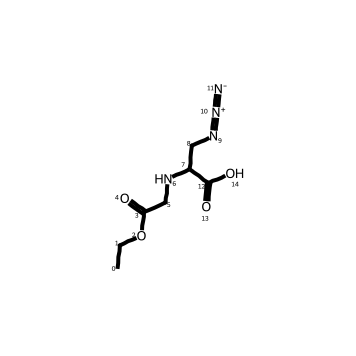 CCOC(=O)CNC(CN=[N+]=[N-])C(=O)O